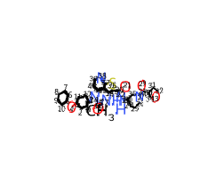 Cc1cc(Oc2ccccc2)ccc1N1C(=O)Nc2c(C(=O)N[C@@H]3CCCN(C(=O)[C@H]4CCOC4)C3)sc3nccc1c23